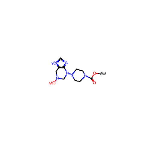 CC(C)(C)OC(=O)N1CCN(N2CN(O)Cc3[nH]cnc32)CC1